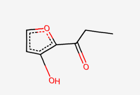 CCC(=O)c1occc1O